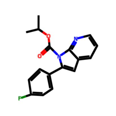 CC(C)OC(=O)n1c(-c2ccc(F)cc2)cc2cccnc21